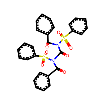 O=C(c1ccccc1)N(C(=O)N(C(=O)c1ccccc1)S(=O)(=O)c1ccccc1)S(=O)(=O)c1ccccc1